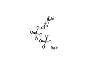 O=P([O-])([O-])[O-].O=P([O-])([O-])[O-].[Ba+2].[Ba+2].[Ba+2].[Zn].[Zn].[Zn]